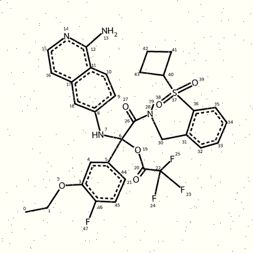 CCOc1cc(C(Nc2ccc3c(N)nccc3c2)(OC(=O)C(F)(F)F)C(=O)N(C)Cc2ccccc2S(=O)(=O)C2CCC2)ccc1F